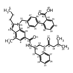 CCCc1nc2c(C)cc(C(=O)N[C@@H](CSC(=O)CC(C)C)Cc3ccccc3)cc2n1Cc1ccc(-c2ccccc2C(=O)O)cc1